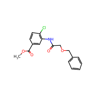 COC(=O)c1ccc(Cl)c(NC(=O)COCc2ccccc2)c1